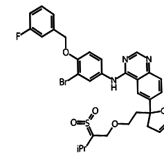 CC(C)C(COCCC1(c2ccc3ncnc(Nc4ccc(OCc5cccc(F)c5)c(Br)c4)c3c2)CC=CO1)=S(=O)=O